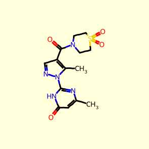 Cc1cc(=O)[nH]c(-n2ncc(C(=O)N3CCS(=O)(=O)CC3)c2C)n1